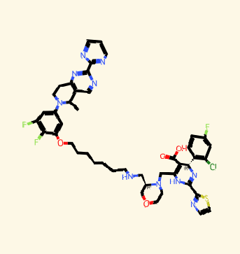 CC1c2cnc(-c3ncccn3)nc2CCN1c1cc(F)c(F)c(OCCCCCCCNC[C@@H]2COCCN2CC2=C(C(=O)O)[C@H](c3ccc(F)cc3Cl)N=C(c3nccs3)N2)c1